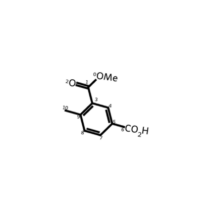 COC(=O)c1cc(C(=O)O)ccc1C